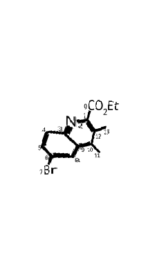 CCOC(=O)c1nc2ccc(Br)cc2c(C)c1C